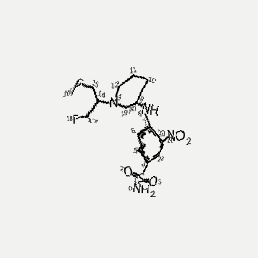 NS(=O)(=O)c1ccc(N[C@@H]2CCCN(C(CF)CF)C2)c([N+](=O)[O-])c1